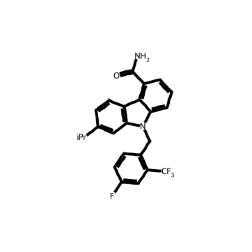 CC(C)c1c[c]c2c3c(C(N)=O)cccc3n(Cc3ccc(F)cc3C(F)(F)F)c2c1